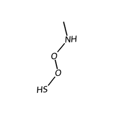 CNOOS